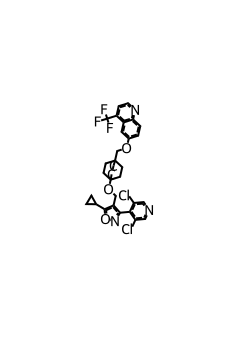 FC(F)(F)c1ccnc2ccc(OCC34CCC(OCc5c(-c6c(Cl)cncc6Cl)noc5C5CC5)(CC3)CC4)cc12